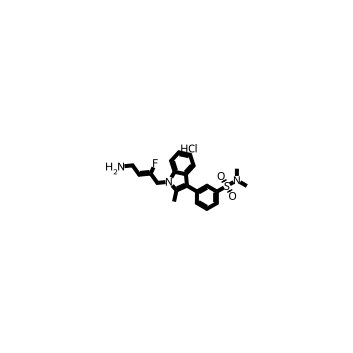 Cc1c(-c2cccc(S(=O)(=O)N(C)C)c2)c2ccccc2n1C/C(F)=C/CN.Cl